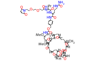 C=C1C[C@@H]2CC[C@@]3(O)C[C@H]4OC5[C@@H]6C(O[C@H]7CC[C@H](CC(=O)C[C@@H]8[C@@H](OC)[C@@H](C[C@@H](CNC(=O)OCc9ccc(NC(=O)[C@H](CCCNC(N)=O)NC(=O)[C@@H](NC(=O)CCOCCOCCN%10C(=O)C=CC%10=O)C(C)C)cc9)OC)O[C@H]8C[C@H]8O[C@H](CCC8=C)CC[C@@H]1O2)O[C@@H]7[C@@H]6O3)[C@@H]54